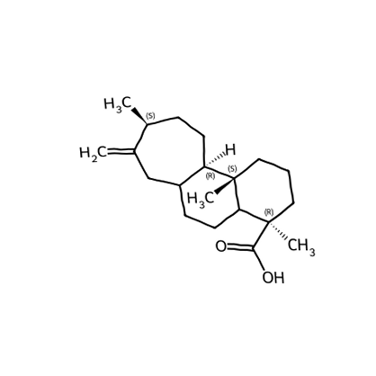 C=C1CC2CCC3[C@](C)(C(=O)O)CCC[C@@]3(C)[C@@H]2CC[C@@H]1C